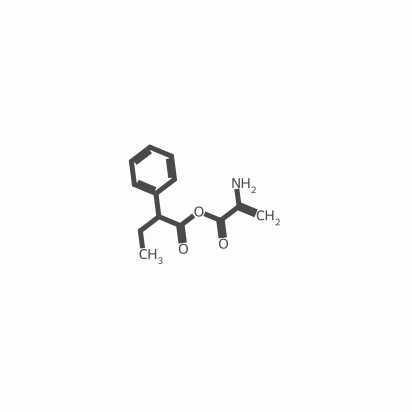 C=C(N)C(=O)OC(=O)C(CC)c1ccccc1